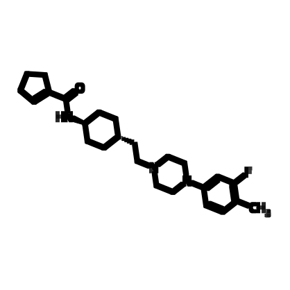 Cc1ccc(N2CCN(CC[C@H]3CC[C@H](NC(=O)C4=CCCC4)CC3)CC2)cc1F